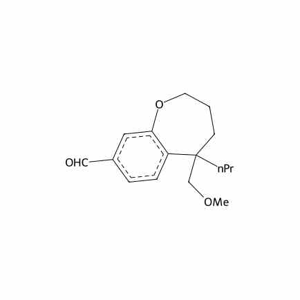 CCCC1(COC)CCCOc2cc(C=O)ccc21